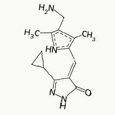 Cc1[nH]c(C=C2C(=O)NN=C2C2CC2)c(C)c1CN